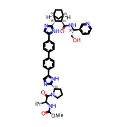 COC(=O)NC(C(=O)N1CCC[C@H]1c1ncc(-c2ccc(-c3ccc(-c4cnc([C@@H]5[C@H]6CC[C@H](C6)[C@H]5C(=O)N[C@@H](CO)c5cccnc5)[nH]4)cc3)cc2)[nH]1)C(C)C